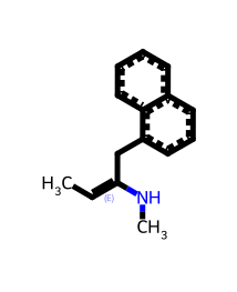 C/C=C(\Cc1cccc2ccccc12)NC